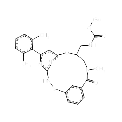 Cc1cccc(C)c1-c1cc2nc(n1)NSc1cccc(c1)C(=O)N(C)CC(CNC(=O)OC(C)(C)C)O2